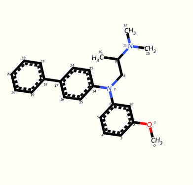 COc1cccc(N(CC(C)N(C)C)c2ccc(-c3ccccc3)cc2)c1